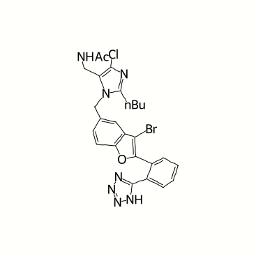 CCCCc1nc(Cl)c(CNC(C)=O)n1Cc1ccc2oc(-c3ccccc3-c3nnn[nH]3)c(Br)c2c1